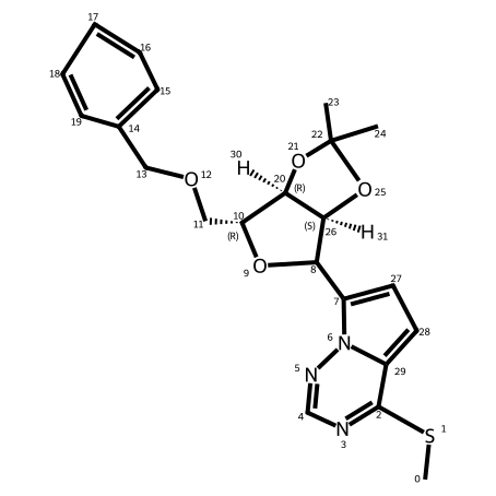 CSc1ncnn2c(C3O[C@H](COCc4ccccc4)[C@H]4OC(C)(C)O[C@@H]34)ccc12